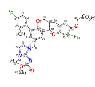 Cc1cc(F)ccc1-c1cc(Cn2ccn(C)c2=NC(=O)OC(C)(C)C)cc2c1OCC(Cc1ccc(F)c(OCC(=O)O)c1)C2=O